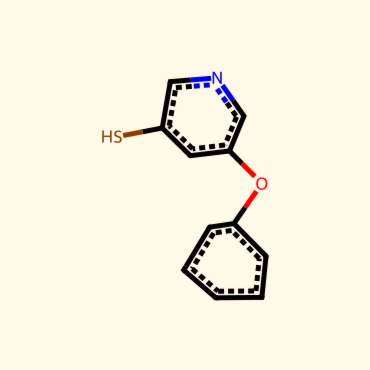 Sc1cncc(Oc2ccccc2)c1